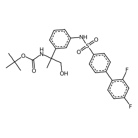 CC(C)(C)OC(=O)NC(C)(CO)c1cccc(NS(=O)(=O)c2ccc(-c3ccc(F)cc3F)cc2)c1